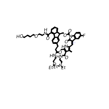 CCOCCNC(=O)CCc1ccc2c(c1)C(COC(=O)N1C(=O)/C(=C\c3[nH]c(C)c(C(=O)NCCN(CC)CC)c3C)c3cc(F)ccc31)c1cccc(C(=O)NCCOCCCCO)c1-2